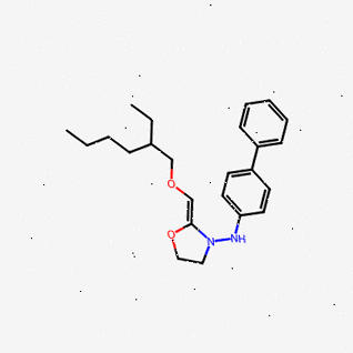 CCCCC(CC)COC=C1OCCN1Nc1ccc(-c2ccccc2)cc1